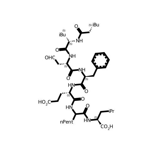 CCCCCC(NC(=O)[C@H](CCC(=O)O)NC(=O)[C@H](Cc1ccccc1)NC(=O)[C@H](CC=O)NC(=O)[C@@H](NC(=O)C[C@@H](C)CC)[C@@H](C)CC)C(=O)N[C@@H](CC(C)C)C(=O)O